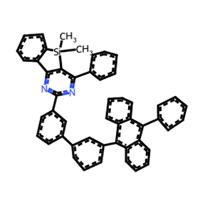 C[Si]1(C)c2ccccc2-c2nc(-c3cccc(-c4cccc(-c5c6ccccc6c(-c6ccccc6)c6ccccc56)c4)c3)nc(-c3ccccc3)c21